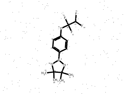 CC1(C)OB(c2ccc(OC(F)(F)C(F)F)cc2)OC1(C)C